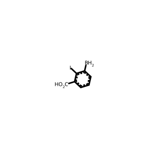 Bc1cccc(C(=O)O)c1I